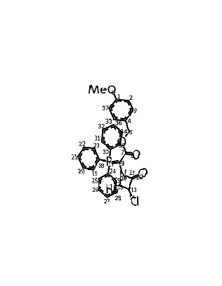 COc1ccc(COC(=O)C(N2C(=O)C(Cl)C2S)=P(c2ccccc2)(c2ccccc2)c2ccccc2)cc1